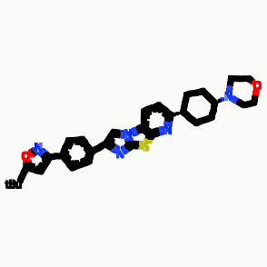 CC(C)(C)c1cc(-c2ccc(-c3cn4c(n3)sc3nc([C@H]5CC[C@@H](N6CCOCC6)CC5)ccc34)cc2)no1